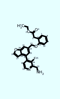 CCOC(=O)Cc1ccccc1OCc1cc(-c2ccnc(CN)c2F)c2ccoc2c1